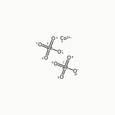 [Co+2].[O]=[Re](=[O])(=[O])[O-].[O]=[Re](=[O])(=[O])[O-]